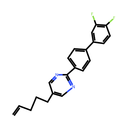 C=CCCCc1cnc(-c2ccc(-c3ccc(F)c(F)c3)cc2)nc1